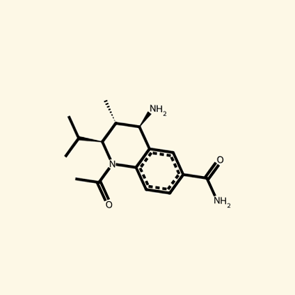 CC(=O)N1c2ccc(C(N)=O)cc2[C@H](N)[C@@H](C)[C@@H]1C(C)C